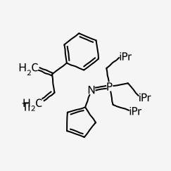 C=CC(=C)c1ccccc1.CC(C)CP(CC(C)C)(CC(C)C)=NC1=CC=CC1.[Ti]